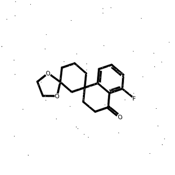 O=C1CCC2(CCCC3(C2)OCCO3)c2cccc(F)c21